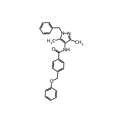 Cc1nn(Cc2ccccc2)c(C)c1NC(=O)c1ccc(COc2ccccc2)cc1